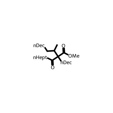 CCCCCCCCCCCC(C)C(CCCCCCCCCC)(C(=O)CCCCCCC)C(=O)OC